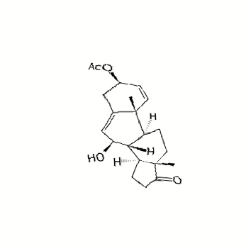 CC(=O)O[C@H]1C=C[C@@]2(C)C(=C[C@H](O)[C@@H]3[C@@H]2CC[C@]2(C)C(=O)CC[C@@H]32)C1